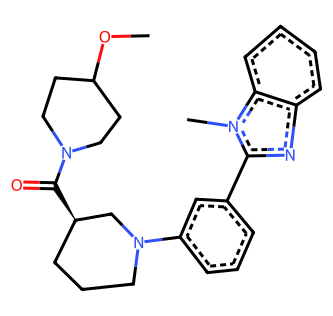 COC1CCN(C(=O)[C@@H]2CCCN(c3cccc(-c4nc5ccccc5n4C)c3)C2)CC1